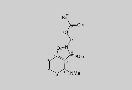 CNC1CCCc2on(COC(=O)C(C)(C)C)c(=O)c21